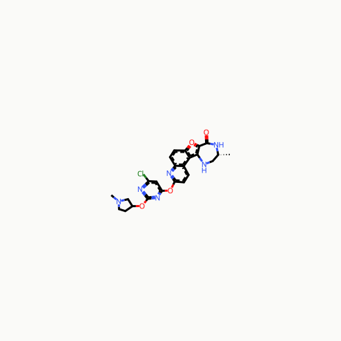 C[C@@H]1CNc2c(oc3ccc4nc(Oc5cc(Cl)nc(OC6CCN(C)C6)n5)ccc4c23)C(=O)N1